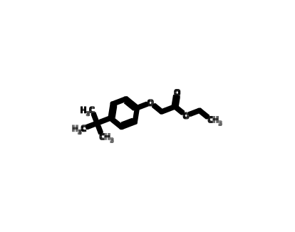 CCOC(=O)COc1ccc(C(C)(C)C)cc1